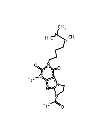 CC(=O)N1CCn2c1nc1c2c(=O)n(CCCC[C@@H](C)N(C)C)c(=O)n1C